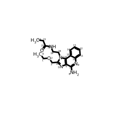 CCOCc1nc2c(N)nc3ccccc3c2n1CCNC(=O)CC